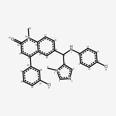 Cn1cncc1C(Nc1ccc(Cl)cc1)c1ccc2c(c1)c(-c1cccc(Cl)c1)cc(=O)n2C